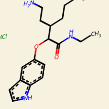 CCCC(CCN)C(Oc1ccc2[nH]ccc2c1)C(=O)NCC.Cl